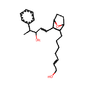 CC(c1ccccc1)C(O)C=CC1C2CCC(O2)C1CCCCC=CCO